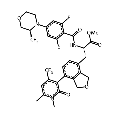 COC(=O)[C@H](Cc1ccc(-c2c(C(F)(F)F)cc(C)n(C)c2=O)c2c1COC2)NC(=O)c1c(F)cc(N2CCOC[C@@H]2C(F)(F)F)cc1F